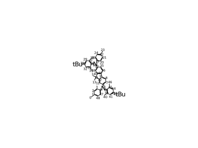 Cc1ccc(N(c2ccc3c(c2)C(C)(C)c2cc(N(c4ccc(C)cc4)c4c(C)cc(C(C)(C)C)cc4C)ccc2-3)c2c(C)cc(C(C)(C)C)cc2C)cc1